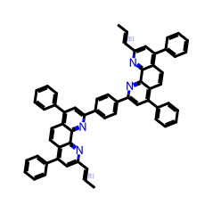 C/C=C/c1cc(-c2ccccc2)c2ccc3c(-c4ccccc4)cc(-c4ccc(-c5cc(-c6ccccc6)c6ccc7c(-c8ccccc8)cc(/C=C/C)nc7c6n5)cc4)nc3c2n1